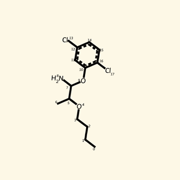 CCCCOC(C)C(N)Oc1cc(Cl)ccc1Cl